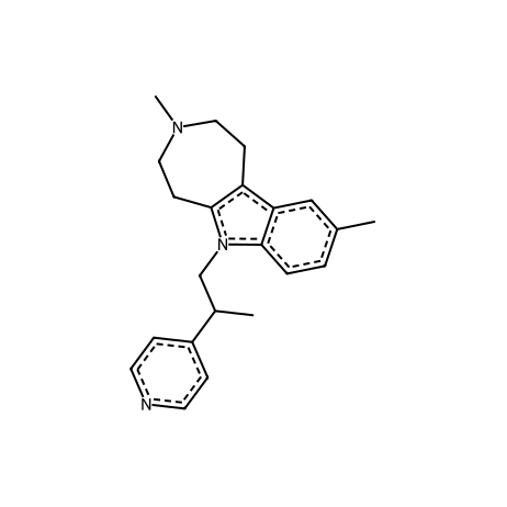 Cc1ccc2c(c1)c1c(n2CC(C)c2ccncc2)CCN(C)CC1